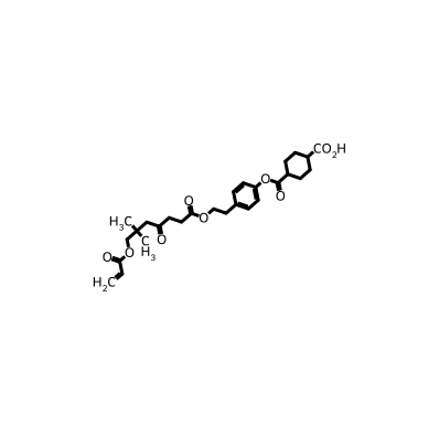 C=CC(=O)OCC(C)(C)CC(=O)CCC(=O)OCCc1ccc(OC(=O)C2CCC(C(=O)O)CC2)cc1